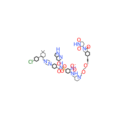 CC1(C)CCC(CN2CCN(c3ccc(C(=O)NS(=O)(=O)c4ccc(NCC5CCCN(CCOCCOCC#Cc6ccc7c(c6)CN(C6CCC(=O)NC6=O)C7=O)C5)c([N+](=O)[O-])c4)c(Oc4cnc5[nH]ccc5c4)c3)CC2)=C(c2ccc(Cl)cc2)C1